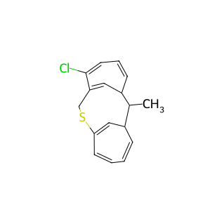 CC1C2C=CC=CC(=C2)SCC2=CC1C=CC=C2Cl